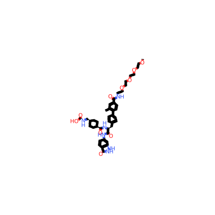 COCCOCCOCCOCCNC(=O)c1ccc(-c2ccc(C[C@H](NC(=O)[C@H]3CC[C@H](CNC(=O)O)CC3)C(=O)Nc3ccc4c(=O)[nH][nH]c4c3)cc2)c(C)c1